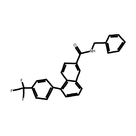 O=C(NCc1ccccc1)c1ccc2c(-c3ccc(C(F)(F)F)cc3)cccc2c1